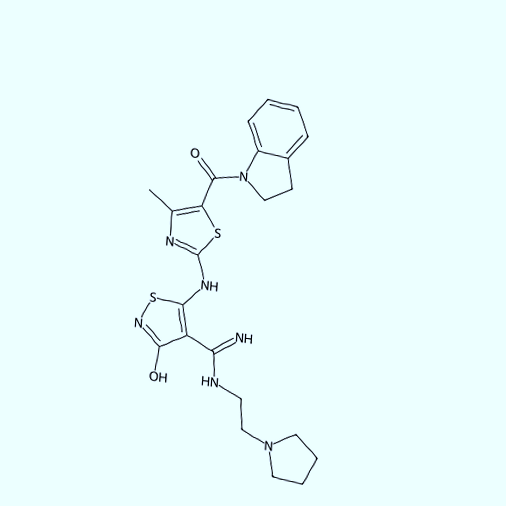 Cc1nc(Nc2snc(O)c2C(=N)NCCN2CCCC2)sc1C(=O)N1CCc2ccccc21